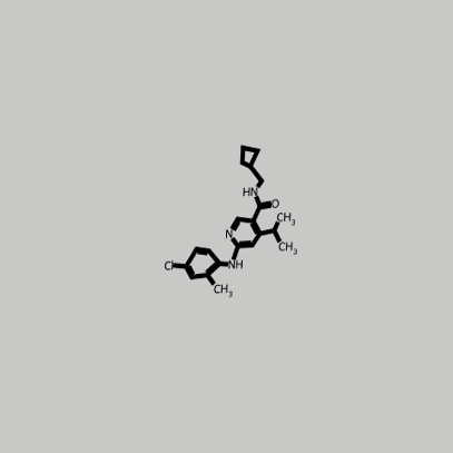 Cc1cc(Cl)ccc1Nc1cc(C(C)C)c(C(=O)NCC2CCC2)cn1